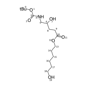 CC(C)(C)OC(=O)NCC(O)CCC(=O)OCCCCCCO